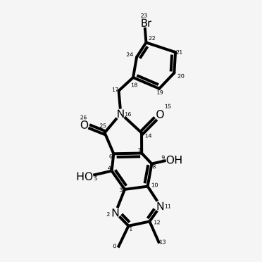 Cc1nc2c(O)c3c(c(O)c2nc1C)C(=O)N(Cc1cccc(Br)c1)C3=O